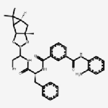 CC(C)CC(NC(=O)[C@H](Cc1ccccc1)NC(=O)c1cccc(C(=O)Nc2ccccc2N)c1)B1OC2C3[C@H](C[C@]2(C)O1)C3(C)C